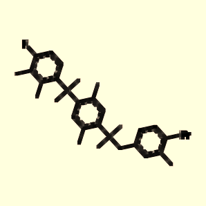 Cc1cc(CC(C)(C)c2cc(C)c(C(C)(C)c3ccc(F)c(C)c3C)cc2C)ccc1C(C)C